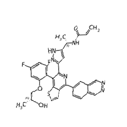 C=CC(=O)N[C@@H](C)c1cc(-c2nc(-c3ccc4cnncc4c3)c3ccsc3c2-c2c(F)cc(F)cc2OC[C@@H](C)O)n[nH]1